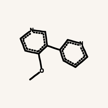 COc1ccncc1-c1cccnc1